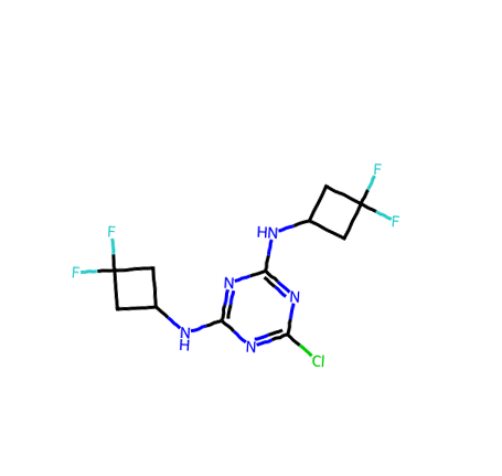 FC1(F)CC(Nc2nc(Cl)nc(NC3CC(F)(F)C3)n2)C1